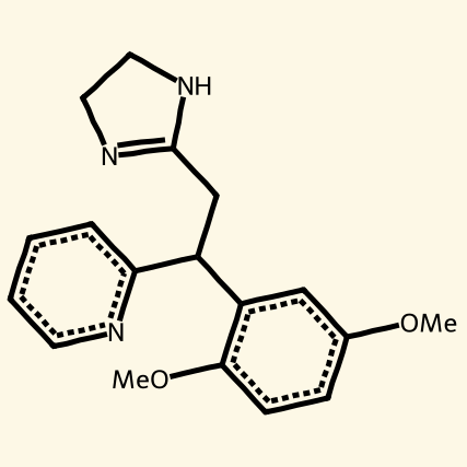 COc1ccc(OC)c(C(CC2=NCCN2)c2ccccn2)c1